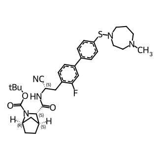 CN1CCCN(Sc2ccc(-c3ccc(C[C@@H](C#N)NC(=O)[C@@H]4[C@H]5CC[C@H](C5)N4C(=O)OC(C)(C)C)c(F)c3)cc2)CC1